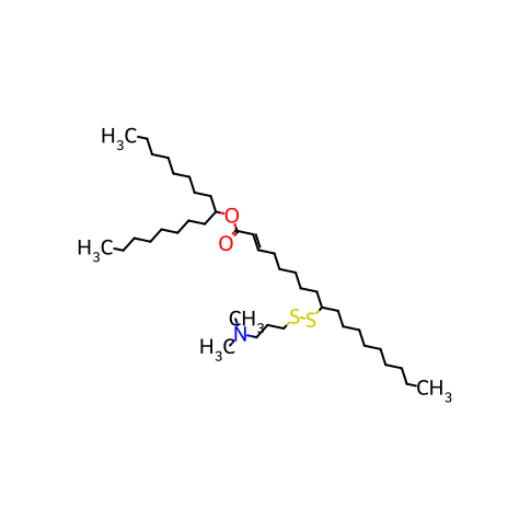 CCCCCCCCCC(CCCCCC=CC(=O)OC(CCCCCCCC)CCCCCCCC)SSCCCN(C)C